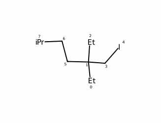 CCC(CC)(CI)CCC(C)C